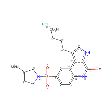 CNC1CCN(S(=O)(=O)c2ccc3[nH]c(=O)c4[nH]cc(CCCC(=O)O)c4c3c2)C1.Cl